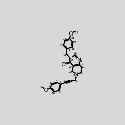 COc1ccc(C#CCN2CCc3ncn(Cc4ccc(OC)cc4)c(=O)c3C2)cc1